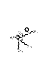 CCCCCCN(CCCCCC)c1nc(C)nc(S)c1NC(=O)CCCN(CCC)c1ccccc1